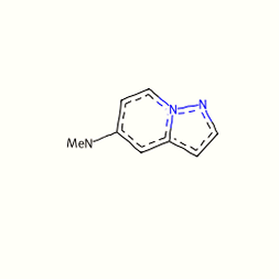 CNc1ccn2nccc2c1